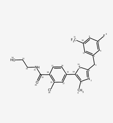 Cc1nc(Cc2cc(F)cc(C(F)(F)F)c2)sc1-c1ccc(C(=O)NCCO)c(Cl)c1